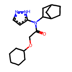 O=C(COC1CCCCC1)N(c1ccn[nH]1)C1CC2CCC1C2